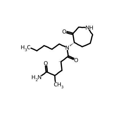 CCCCCN(C(=O)[CH]CC(C)C(N)=O)[C@H]1CCCNCC1=O